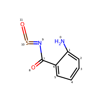 Nc1ccccc1C(=O)N=S=O